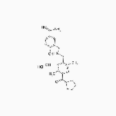 Cc1cc(C(=O)N2CCCC2)c(C)cc1CNCc1cc(C(=N)N)ccc1O.Cl.Cl